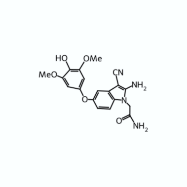 COc1cc(Oc2ccc3c(c2)c(C#N)c(N)n3CC(N)=O)cc(OC)c1O